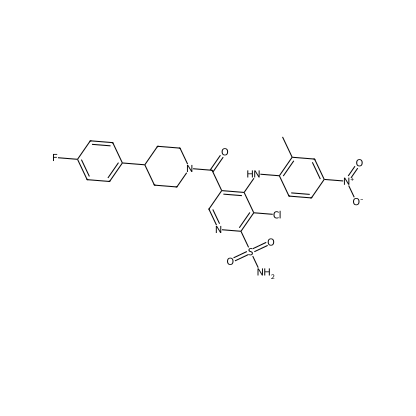 Cc1cc([N+](=O)[O-])ccc1Nc1c(C(=O)N2CCC(c3ccc(F)cc3)CC2)cnc(S(N)(=O)=O)c1Cl